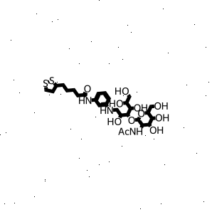 CC(=O)NC1C(OC(C(O)CNc2cccc(NC(=O)CCCCC3CCSS3)c2)C(O)C(O)CO)OC(CO)C(O)C1O